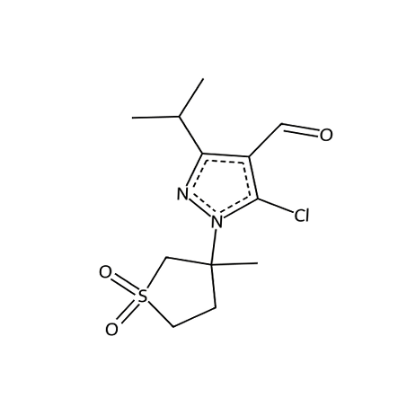 CC(C)c1nn(C2(C)CCS(=O)(=O)C2)c(Cl)c1C=O